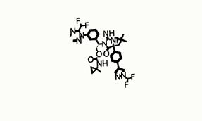 C=NN(/C(=N\C)C(F)F)c1cccc([C@@H](COC(=O)NC2(C)CC2)N2C(=N)N[C@](CC(C)(C)C)(c3ccc(-c4cnn(C(F)F)c4)cc3)C2=O)c1